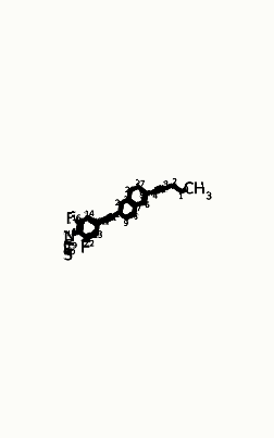 CCCC#CC1=Cc2ccc(C#Cc3cc(F)c(N=C=S)c(F)c3)cc2CC1